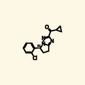 O=C(c1nc2n(n1)[C@H](c1ccccc1Cl)CC2)C1CC1